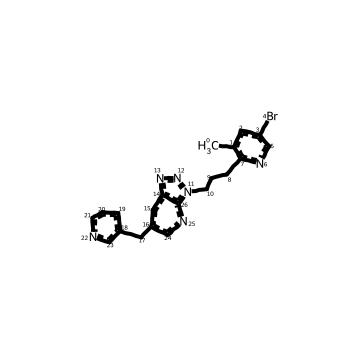 Cc1cc(Br)cnc1CCCn1nnc2cc(Cc3cccnc3)cnc21